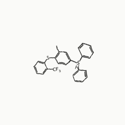 Cc1cc([SH](c2ccccc2)c2ccccc2)ccc1Sc1ccccc1C(F)(F)F